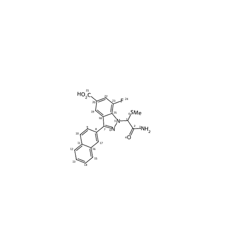 CSC(C(N)=O)n1nc(-c2ccc3ccccc3c2)c2cc(C(=O)O)cc(F)c21